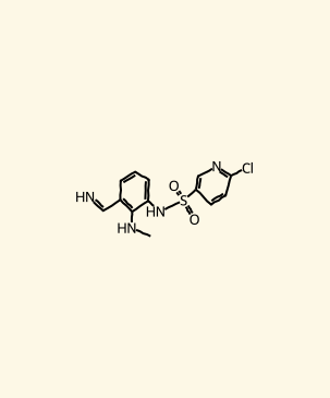 CNc1c(C=N)cccc1NS(=O)(=O)c1ccc(Cl)nc1